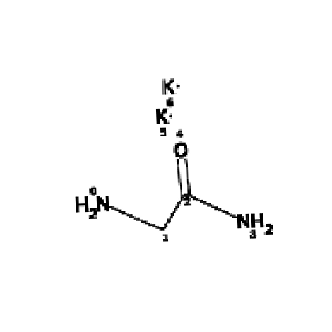 NCC(N)=O.[K].[K]